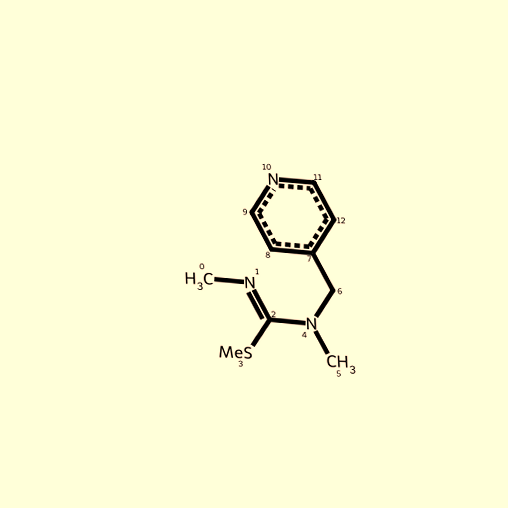 CN=C(SC)N(C)Cc1ccncc1